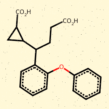 O=C(O)CCC(c1ccccc1Oc1ccccc1)C1CC1C(=O)O